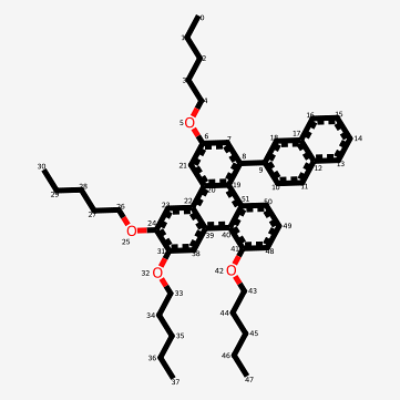 CCCCCOc1cc(-c2ccc3ccccc3c2)c2c(c1)c1cc(OCCCCC)c(OCCCCC)cc1c1c(OCCCCC)cccc12